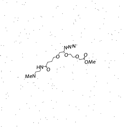 CNCCNC(=O)CCCOCC(N=[N+]=[N-])OCCOCC(=O)OC